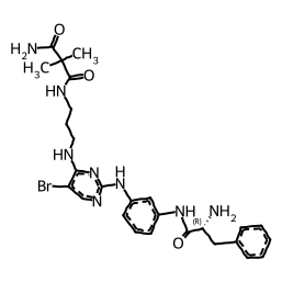 CC(C)(C(N)=O)C(=O)NCCCNc1nc(Nc2cccc(NC(=O)[C@H](N)Cc3ccccc3)c2)ncc1Br